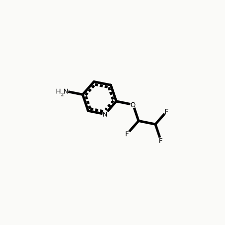 Nc1ccc(OC(F)C(F)F)nc1